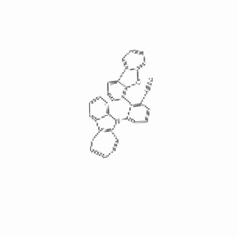 N#Cc1cccc(-n2c3c(c4ccccc42)CC=CC=C3)c1-c1cccc2c1oc1ccccc12